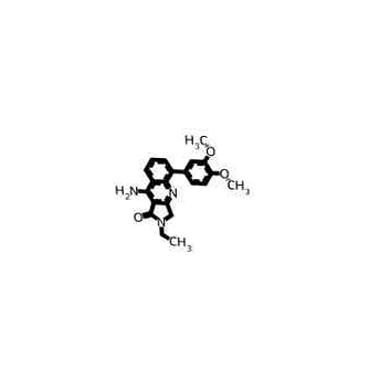 CCN1Cc2nc3c(-c4ccc(OC)c(OC)c4)cccc3c(N)c2C1=O